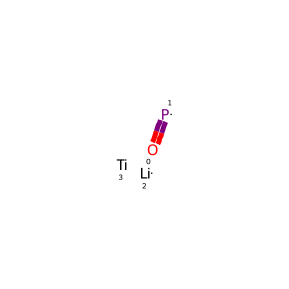 O=[P].[Li].[Ti]